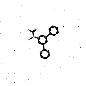 O=C(O)N(S)c1cc(-c2ccccc2)cc(-c2ccccc2)c1